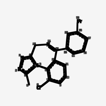 Cc1nnc2n1-c1c(Cl)cccc1C(c1cccc(C(C)C)c1)=NC2